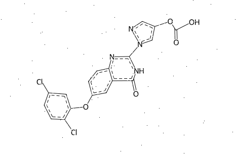 O=C(O)Oc1cnn(-c2nc3ccc(Oc4cc(Cl)ccc4Cl)cc3c(=O)[nH]2)c1